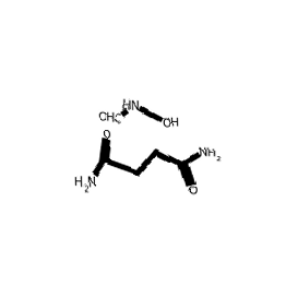 NC(=O)CCC(N)=O.O=CNO